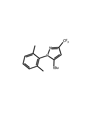 Cc1cccc(C)c1-n1nc(C(F)(F)F)cc1C(C)(C)C